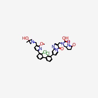 COc1nc(-c2cccc(-c3cccc(-c4ccn5c(=O)c(CN(CC6CCC(=O)N6)C(=O)O)cnc5c4)c3Cl)c2Cl)ccc1CN1CC(C)(O)C1